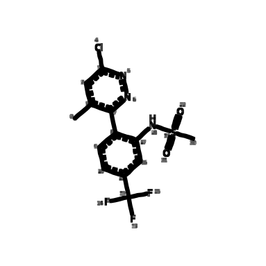 Cc1cc(Cl)nnc1-c1ccc(C(F)(F)F)cc1NS(C)(=O)=O